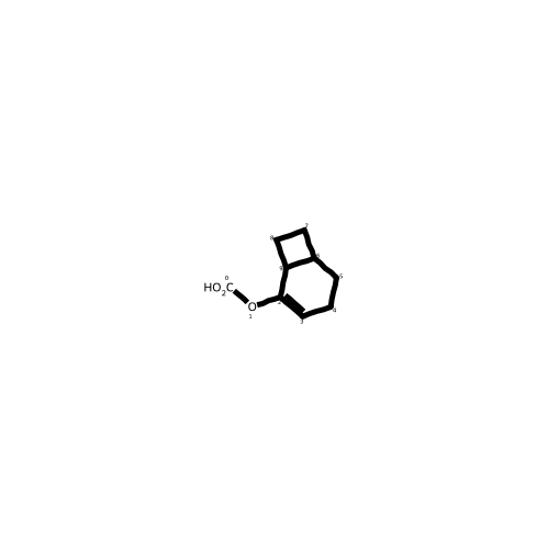 O=C(O)OC1=CCCC2CCC12